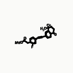 COC(=O)Cc1ccc(C#Cc2ccc3c(c2)C(C)(C)CCC3=O)cc1F